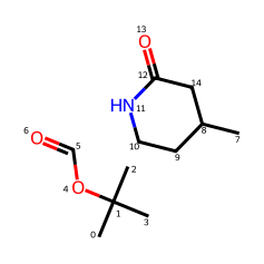 CC(C)(C)OC=O.CC1CCNC(=O)C1